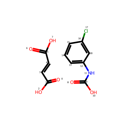 O=C(O)/C=C/C(=O)O.O=C(O)Nc1cccc(Cl)c1